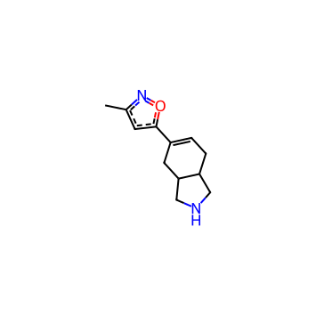 Cc1cc(C2=CCC3CNCC3C2)on1